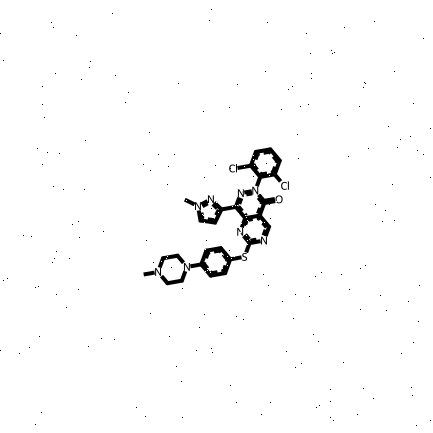 CN1CCN(c2ccc(Sc3ncc4c(=O)n(-c5c(Cl)cccc5Cl)nc(-c5ccn(C)n5)c4n3)cc2)CC1